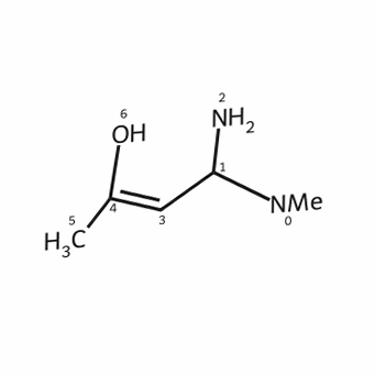 CNC(N)/C=C(/C)O